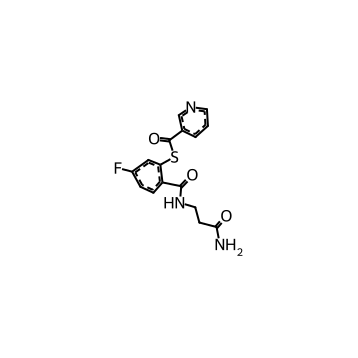 NC(=O)CCNC(=O)c1ccc(F)cc1SC(=O)c1cccnc1